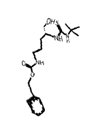 CC(C)(C)NC(=S)N[C@@H](CO)CCCNC(=O)OCc1ccccc1